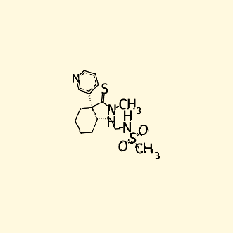 CNC(=S)[C@]1(c2cccnc2)CCCC[C@H]1CCNS(C)(=O)=O